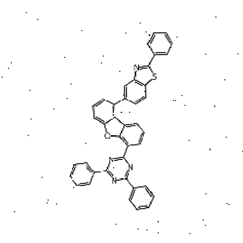 c1ccc(-c2nc(-c3ccccc3)nc(-c3cccc4c3oc3cccc(-c5ccc6sc(-c7ccccc7)nc6c5)c34)n2)cc1